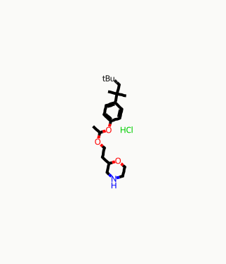 CC(OCCC1CNCCO1)Oc1ccc(C(C)(C)CC(C)(C)C)cc1.Cl